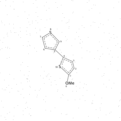 COc1ccc(-c2ccsc2)s1